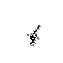 COC(=O)c1cc(Br)c(NCCCOCCS)c([N+](=O)[O-])c1